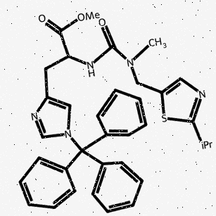 COC(=O)C(Cc1cn(C(c2ccccc2)(c2ccccc2)c2ccccc2)cn1)NC(=O)N(C)Cc1cnc(C(C)C)s1